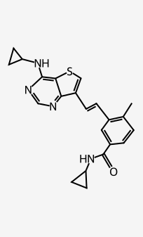 Cc1ccc(C(=O)NC2CC2)cc1C=Cc1csc2c(NC3CC3)ncnc12